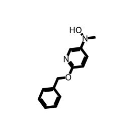 CN(O)c1ccc(OCc2ccccc2)nc1